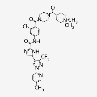 Cc1ccc(-n2cc(-c3cnc(C(=O)Nc4ccc(C(=O)N5CCN(C(=O)C6CC[N+](C)(C)CC6)CC5)c(Cl)c4)[nH]3)c(C(F)(F)F)n2)nc1